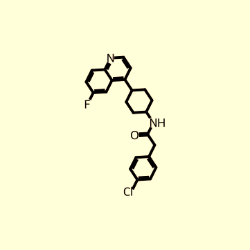 O=C(Cc1ccc(Cl)cc1)NC1CCC(c2ccnc3ccc(F)cc23)CC1